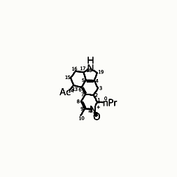 CCCC1C2CC3=C4C(=C2C=C(C)[N+]1=O)C(C(C)=O)CCC4NC3